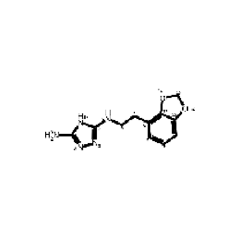 Nc1nnc(NCCc2cccc3c2OCO3)[nH]1